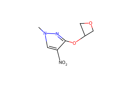 Cn1cc([N+](=O)[O-])c(OC2COC2)n1